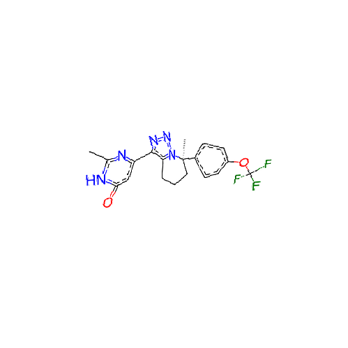 Cc1nc(-c2nnn3c2CCC[C@]3(C)c2ccc(OC(F)(F)F)cc2)cc(=O)[nH]1